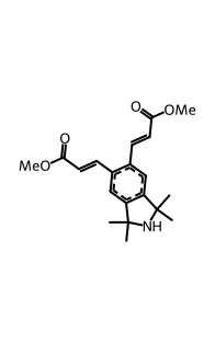 COC(=O)C=Cc1cc2c(cc1C=CC(=O)OC)C(C)(C)NC2(C)C